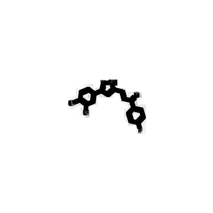 O=C(C=Cc1cc(-c2ccc(Cl)c(Cl)c2)n[nH]1)c1ccc(F)cc1